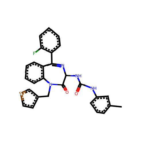 Cc1cccc(NC(=O)NC2N=C(c3ccccc3F)c3ccccc3N(Cc3ccsc3)C2=O)c1